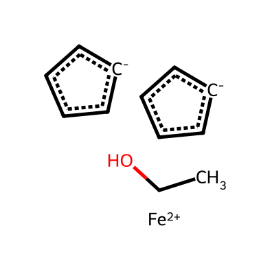 CCO.[Fe+2].c1cc[cH-]c1.c1cc[cH-]c1